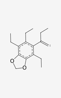 [C]=C(CC)c1c(CC)c(CC)c2c(c1CC)OCO2